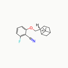 CC1(C)C2CC[C@@H](COc3cccc(F)c3C#N)C1C2